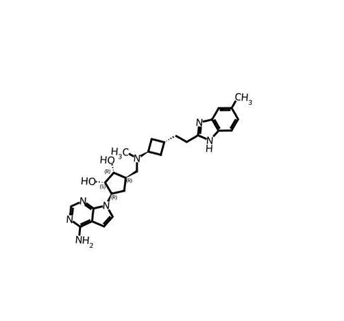 Cc1ccc2[nH]c(CC[C@H]3C[C@H](N(C)C[C@H]4C[C@@H](n5ccc6c(N)ncnc65)[C@H](O)[C@@H]4O)C3)nc2c1